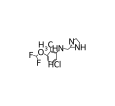 Cc1c(NCC2=NCCN2)cccc1OC(F)F.Cl